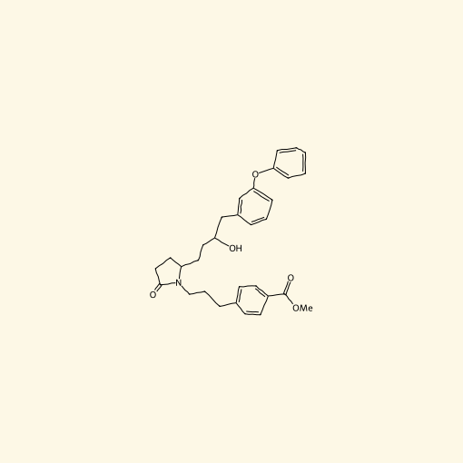 COC(=O)c1ccc(CCCN2C(=O)CCC2CCC(O)Cc2cccc(Oc3ccccc3)c2)cc1